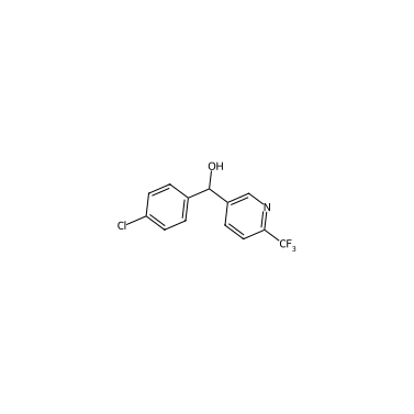 OC(c1ccc(Cl)cc1)c1ccc(C(F)(F)F)nc1